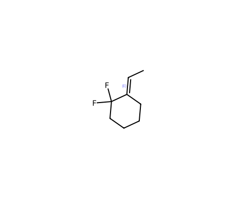 C/C=C1\CCCCC1(F)F